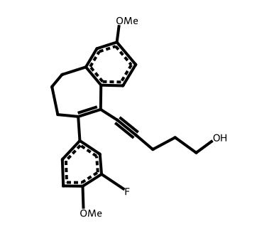 COc1ccc2c(c1)CCCC(c1ccc(OC)c(F)c1)=C2C#CCCCO